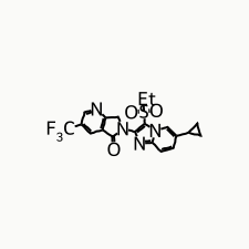 CCS(=O)(=O)c1c(N2Cc3ncc(C(F)(F)F)cc3C2=O)nc2ccc(C3CC3)cn12